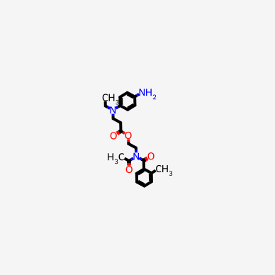 CCN(CCC(=O)OCCN(C(C)=O)C(=O)c1ccccc1C)c1ccc(N)cc1